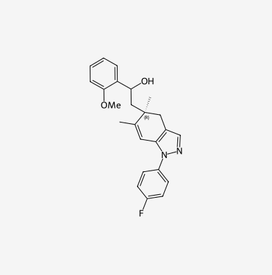 COc1ccccc1C(O)C[C@@]1(C)Cc2cnn(-c3ccc(F)cc3)c2C=C1C